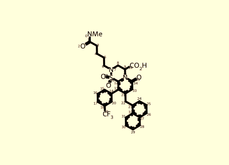 CNC(=O)CCCCN1CC(C(=O)O)n2c(c(-c3cccc(C(F)(F)F)c3)c(Cc3cccc4ccccc34)cc2=O)S1(=O)=O